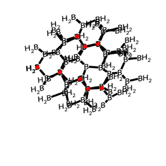 BBB(B(B)B)B(B(B)B)B(B(B(B(B)B)B(B)B)B(B(B)B)B(B)B)B(B(B(B(B)B)B(B)B)B(B(B)B)B(B)B)B(B(B(B(B)B)B(B)B)B(B(B)B)B(B)B)B(B(B(B)B)B(B)B)B(B(B)B)B(B)B